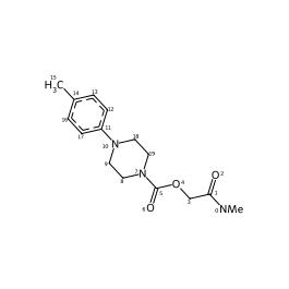 CNC(=O)COC(=O)N1CCN(c2ccc(C)cc2)CC1